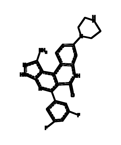 Nc1n[nH]c2nc(-c3cc(F)cc(F)c3)c3c(=O)[nH]c4cc(N5CCNCC5)ccc4c3c12